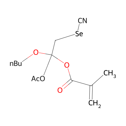 C=C(C)C(=O)OC(C[Se]C#N)(OCCCC)OC(C)=O